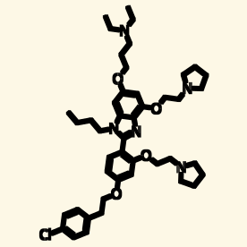 CCCCn1c(-c2ccc(OCCc3ccc(Cl)cc3)cc2OCCN2CCCC2)nc2c(OCCN3CCCC3)cc(OCCCN(CC)CC)cc21